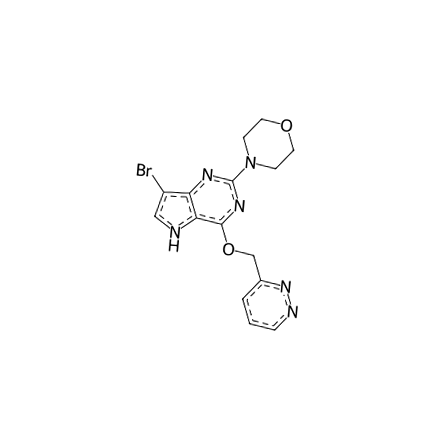 Brc1c[nH]c2c(OCc3cccnn3)nc(N3CCOCC3)nc12